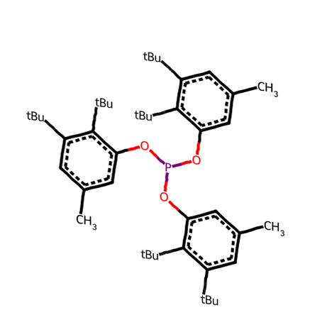 Cc1cc(OP(Oc2cc(C)cc(C(C)(C)C)c2C(C)(C)C)Oc2cc(C)cc(C(C)(C)C)c2C(C)(C)C)c(C(C)(C)C)c(C(C)(C)C)c1